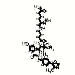 Cc1ncsc1-c1ccc(CNC(=O)[C@@H]2C[C@@H](O)CN2C(=O)[C@@H](NC(=O)CCCN/C=C(/CCCC(=O)O)N=N)C(C)(C)C)cc1